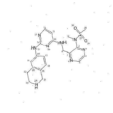 CN(c1nccnc1CNc1ccnc(Nc2ccc3c(c2)CCNC3)n1)S(C)(=O)=O